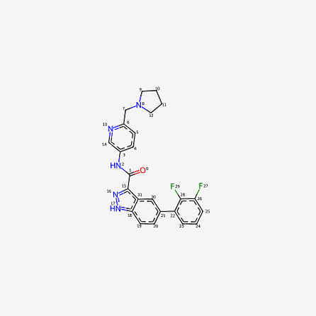 O=C(Nc1ccc(CN2CCCC2)nc1)c1n[nH]c2ccc(-c3cccc(F)c3F)cc12